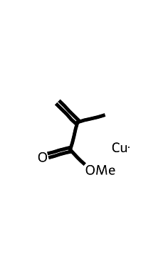 C=C(C)C(=O)OC.[Cu]